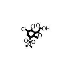 CN(C)S(=O)(=O)c1cc(Cl)c(Cl)c2c(C(=O)O)occ12